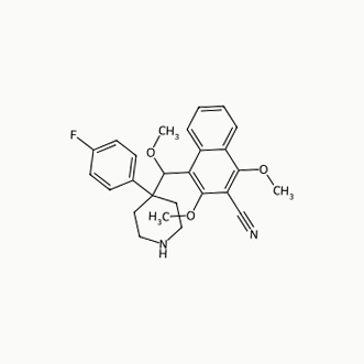 COc1c(C#N)c(OC)c2ccccc2c1C(OC)C1(c2ccc(F)cc2)CCNCC1